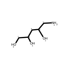 NCC(O)CC(O)CO